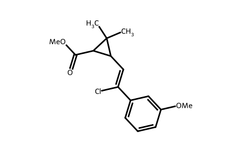 COC(=O)C1C(C=C(Cl)c2cccc(OC)c2)C1(C)C